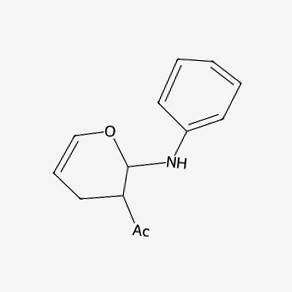 CC(=O)C1CC=COC1Nc1ccccc1